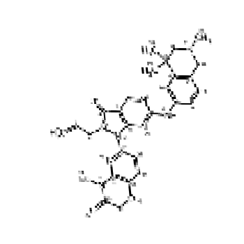 C=CCn1c(=O)c2cnc(Nc3ccc4c(c3)C(C)(C)CN(C)C4)nc2n1-c1ccc2c(n1)N(CC)C(=O)CO2